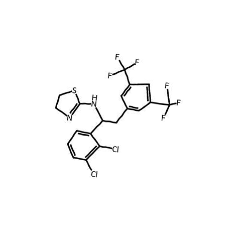 FC(F)(F)c1cc(CC(NC2=NCCS2)c2cccc(Cl)c2Cl)cc(C(F)(F)F)c1